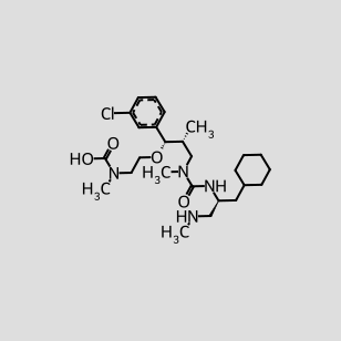 CNC[C@H](CC1CCCCC1)NC(=O)N(C)C[C@@H](C)[C@H](OCCN(C)C(=O)O)c1cccc(Cl)c1